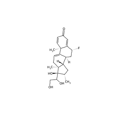 C[C@H]1C[C@H]2[C@@H]3C[C@@H](F)C4=CC(=O)C=C[C@]4(C)C3=CC[C@]2(C)[C@@]1(O)C(O)CO